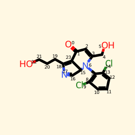 O=C1C=C(CO)N(c2c(Cl)cccc2Cl)C2C=NC(CCCO)=C12